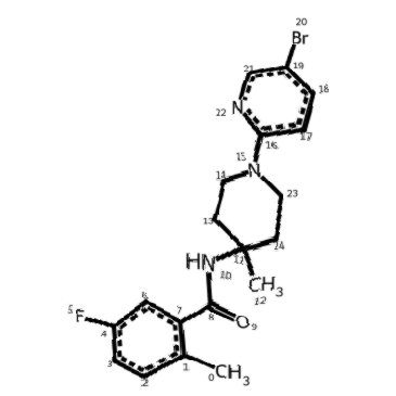 Cc1ccc(F)cc1C(=O)NC1(C)CCN(c2ccc(Br)cn2)CC1